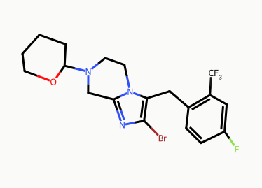 Fc1ccc(Cc2c(Br)nc3n2CCN(C2CCCCO2)C3)c(C(F)(F)F)c1